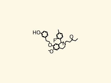 CCC(=O)CCN1CCc2cc(OC)c(OCCc3cccc(O)c3)cc2C1c1ccc(C)cc1F